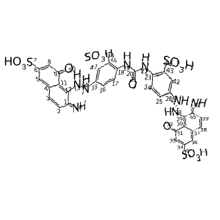 N=C1C=CC2=CC(S(=O)(=O)O)=CC(=O)C2=C1NNc1ccc(NC(=O)Nc2ccc(NNC3=C4C(=O)C=C(S(=O)(=O)O)C=C4C=CC3=N)cc2S(=O)(=O)O)c(S(=O)(=O)O)c1